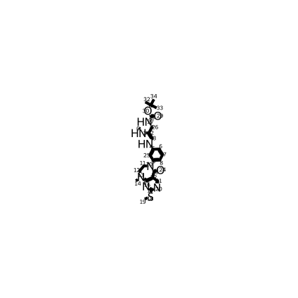 CN/C(=C\Nc1cccc(N2CCN(C)c3nc(SC)ncc3C2=O)c1)CNC(=O)OC(C)(C)C